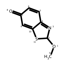 COC1N=C2C=CC(=O)C=C2S1